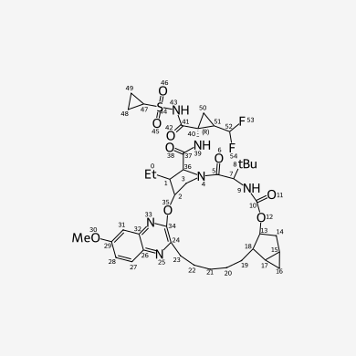 CCC1C2CN(C(=O)C(C(C)(C)C)NC(=O)OC3CC4CC4C3CCCCCc3nc4ccc(OC)cc4nc3O2)C1C(=O)N[C@]1(C(=O)NS(=O)(=O)C2CC2)CC1C(F)F